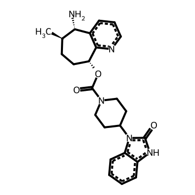 C[C@@H]1CC[C@@H](OC(=O)N2CCC(n3c(=O)[nH]c4ccccc43)CC2)c2ncccc2[C@H]1N